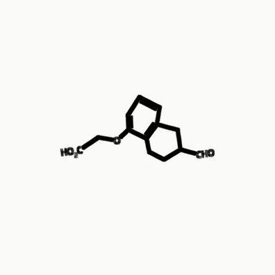 O=CC1CCc2c(cccc2OCC(=O)O)C1